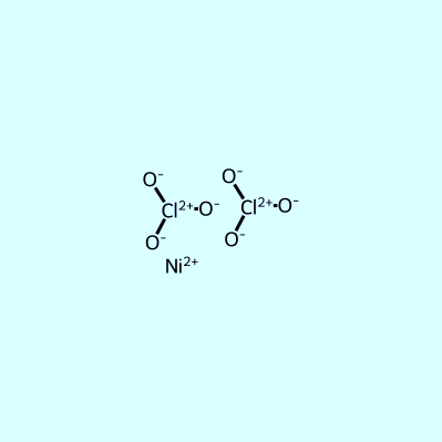 [Ni+2].[O-][Cl+2]([O-])[O-].[O-][Cl+2]([O-])[O-]